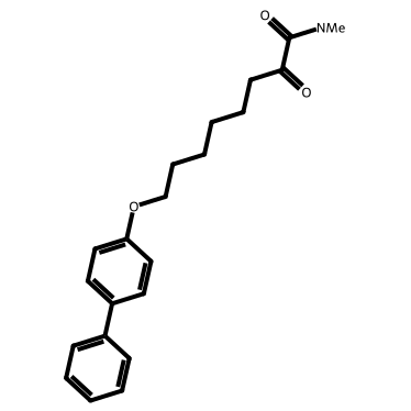 CNC(=O)C(=O)CCCCCCOc1ccc(-c2ccccc2)cc1